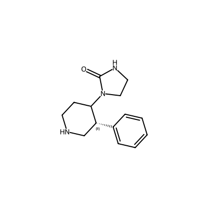 O=C1NCCN1C1CCNC[C@H]1c1ccccc1